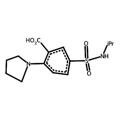 CC(C)NS(=O)(=O)c1ccc(N2CCCC2)c(C(=O)O)c1